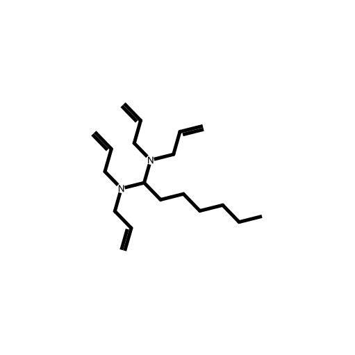 C=CCN(CC=C)C(CCCCCC)N(CC=C)CC=C